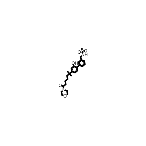 CC(C)(CCCCC(=O)N1CCOCC1)c1ccc(-c2cccc(CNS(C)(=O)=O)c2)c(O)c1